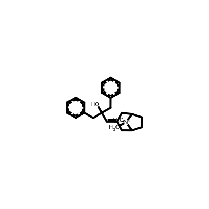 C[N+]1(C)C2CCC1CC(=CC(O)(Cc1ccccc1)Cc1ccccc1)C2